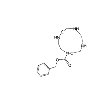 O=C(OCc1ccccc1)N1CCNCCNCCNCC1